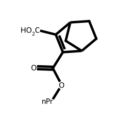 CCCOC(=O)C1=C(C(=O)O)C2CCC1C2